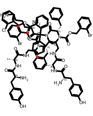 C[C@@H](NC(=O)[C@@H](N)Cc1ccc(O)cc1)C(=O)NCC(=O)N(C(=O)OCc1ccccc1Br)[C@@H](Cc1ccccc1)C(=O)N(C(=O)[C@H](Cc1ccccc1)N(C(=O)CNC(=O)[C@@H](C)NC(=O)[C@@H](N)Cc1ccc(O)cc1)C(=O)OCc1ccccc1Br)C(C(=O)[C@@H](N)CCCCN)(c1ccccc1)c1ccccc1C(=O)OCc1ccccc1Cl